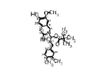 COc1cc(CN(C(N)=S)C(CCc2ccc(C)c(C)c2)OC(=O)C(C)(C)C)ccc1O